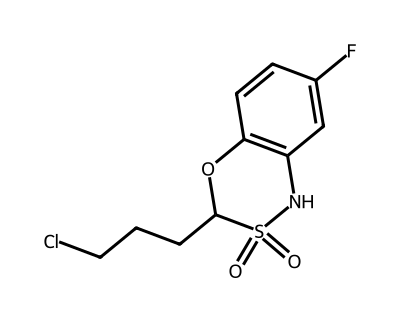 O=S1(=O)Nc2cc(F)ccc2OC1CCCCl